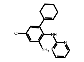 Nc1cc(Cl)cc(C2=CCCCC2)c1Nc1ncccn1